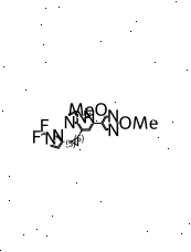 COc1ncc(-c2cc([C@H]3C[C@@H]3c3ccn(C(F)F)n3)c3nccn3n2)c(OC)n1